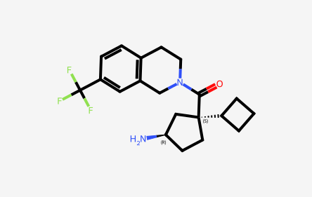 N[C@@H]1CC[C@@](C(=O)N2CCc3ccc(C(F)(F)F)cc3C2)(C2CCC2)C1